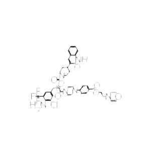 Nc1c(Cl)cc(C[C@@H](OC(=O)N2CCC(c3cc4ccccc4[nH]c3=O)CC2)C(=O)N2CCN(c3ccc(C(=O)OCCN4CCOCC4)cc3)CC2)cc1C(F)(F)F